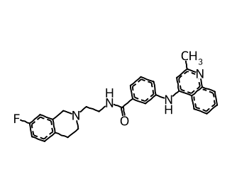 Cc1cc(Nc2cccc(C(=O)NCCN3CCc4ccc(F)cc4C3)c2)c2ccccc2n1